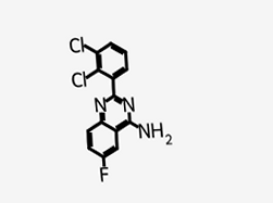 Nc1nc(-c2cccc(Cl)c2Cl)nc2ccc(F)cc12